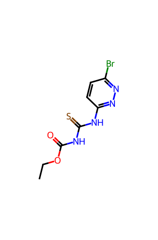 CCOC(=O)NC(=S)Nc1ccc(Br)nn1